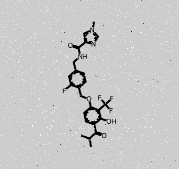 CC(C)C(=O)c1ccc(OCc2ccc(CNC(=O)c3cn(C)cn3)cc2F)c(C(F)(F)F)c1O